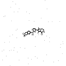 Cc1c(-c2ccnc(Nc3ccc4c(c3)CS(=O)(=O)C4)n2)c(C)n2c1C(=O)N(C)CC2